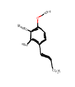 CCCCCCCCOc1ccc(/C=C/C(=O)O)c(CCCC)c1OC